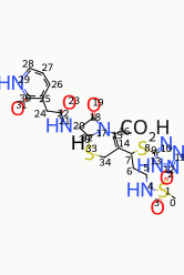 CS(=O)(=O)NCCC(Sc1nnn[nH]1)C1=C(C(=O)O)N2C(=O)[C@@H](NC(=O)Cc3ccc[nH]c3=O)[C@@H]2SC1